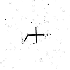 CC(C)([NH])CCl